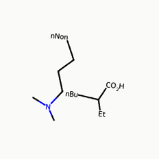 CCCCC(CC)C(=O)O.CCCCCCCCCCCCN(C)C